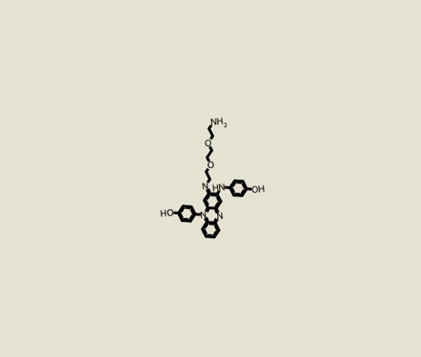 NCCOCCOCC/N=c1/cc2n(-c3ccc(O)cc3)c3ccccc3nc-2cc1Nc1ccc(O)cc1